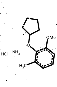 COc1cccc(C)c1OC1CCCC1.Cl.N